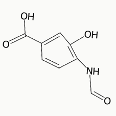 O=CNc1ccc(C(=O)O)cc1O